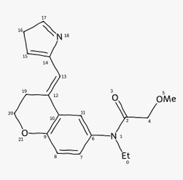 CCN(C(=O)COC)c1ccc2c(c1)/C(=C/C1=CCC=N1)CCO2